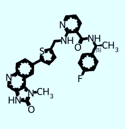 C[C@H](NC(=O)c1cccnc1NCc1ccc(-c2ccc3ncc4[nH]c(=O)n(C)c4c3c2)s1)c1ccc(F)cc1